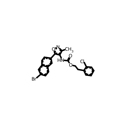 Cc1noc(-c2ccc3cc(Br)ccc3c2)c1NC(=O)OCCc1ccccc1Cl